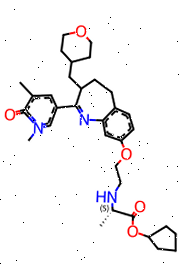 Cc1cc(C2=Nc3cc(OCCN[C@@H](C)C(=O)OC4CCCC4)ccc3CCC2CC2CCOCC2)cn(C)c1=O